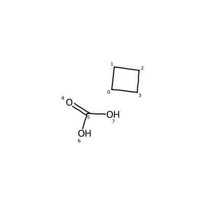 C1CCC1.O=C(O)O